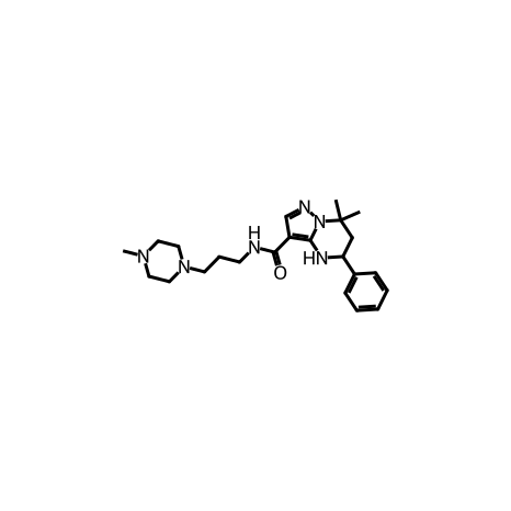 CN1CCN(CCCNC(=O)c2cnn3c2NC(c2ccccc2)CC3(C)C)CC1